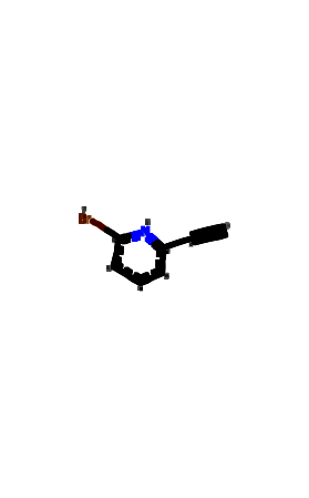 C#Cc1cccc(Br)n1